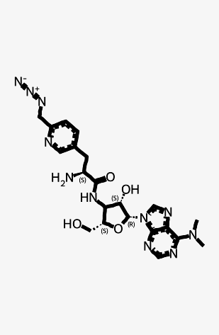 CN(C)c1ncnc2c1ncn2[C@@H]1O[C@H](CO)C(NC(=O)[C@@H](N)Cc2ccc(CN=[N+]=[N-])nc2)[C@@H]1O